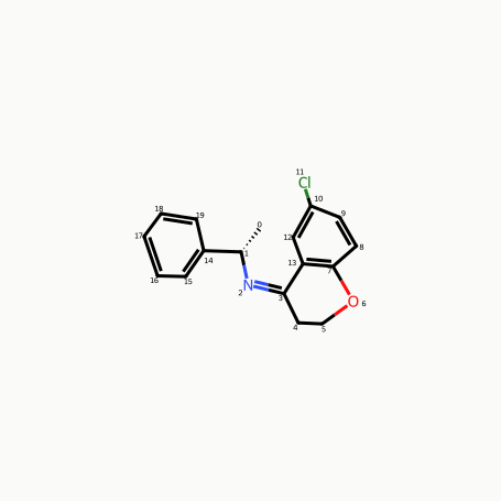 C[C@H](/N=C1/CCOc2ccc(Cl)cc21)c1ccccc1